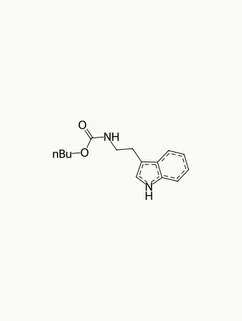 CCCCOC(=O)NCCc1c[nH]c2ccccc12